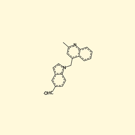 Cc1cc(Cn2ccc3cc([C]=O)ccc32)c2ccccc2n1